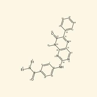 CCN(CC)C(=O)c1ccc(Nc2ncc3nc(-c4ccccc4)c(=O)n(C)c3n2)cc1